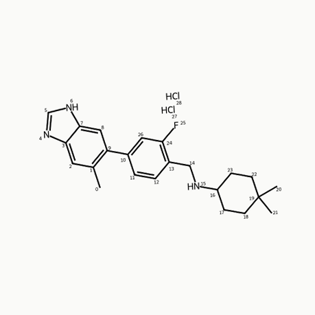 Cc1cc2nc[nH]c2cc1-c1ccc(CNC2CCC(C)(C)CC2)c(F)c1.Cl.Cl